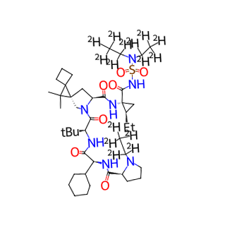 [2H]C([2H])([2H])C([2H])([2H])N1CCC[C@H]1C(=O)N[C@H](C(=O)N[C@H](C(=O)N1C[C@]2(C[C@H]1C(=O)N[C@]1(C(=O)NS(=O)(=O)N(C([2H])([2H])C([2H])([2H])[2H])C([2H])([2H])C([2H])([2H])[2H])C[C@H]1CC)C(C)(C)C21CCC1)C(C)(C)C)C1CCCCC1